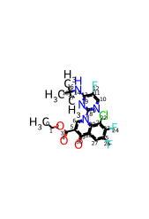 CCOC(=O)c1cn(-c2ncc(F)c(NC(C)(C)C)n2)c2c(Cl)c(F)c(F)cc2c1=O